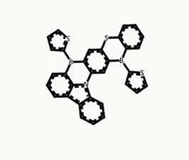 c1csc(B2c3ccccc3Sc3cc4c(cc32)-n2c3ccccc3c3cccc(c32)B4c2cccs2)c1